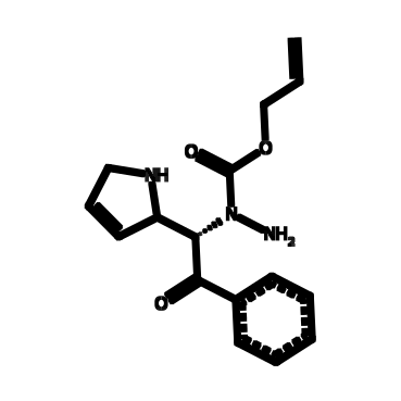 C=CCOC(=O)N(N)[C@H](C(=O)c1ccccc1)C1C=CCN1